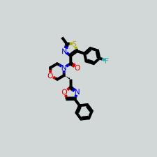 Cc1nc(C(=O)N2CCOC[C@H]2Cc2nc(-c3ccccc3)co2)c(-c2ccc(F)cc2)s1